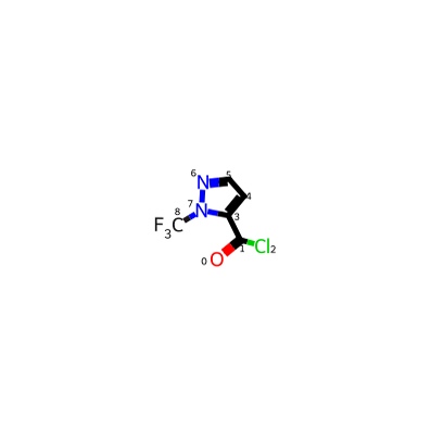 O=C(Cl)c1ccnn1C(F)(F)F